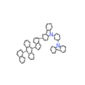 c1cc(-n2c3ccccc3c3ccccc32)cc(-n2c3ccccc3c3cc(-c4cccc5c(-c6c7ccccc7c(-c7cccc8ccccc78)c7ccccc67)cccc45)ccc32)c1